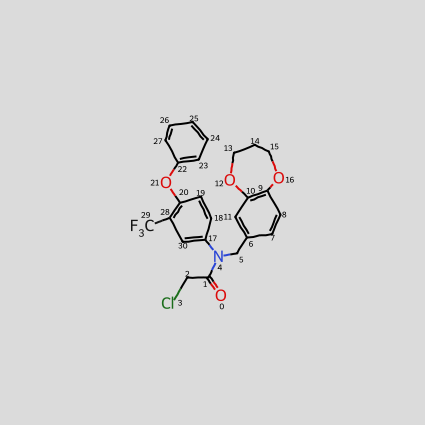 O=C(CCl)N(Cc1ccc2c(c1)OCCCO2)c1ccc(Oc2ccccc2)c(C(F)(F)F)c1